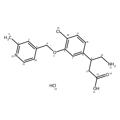 Cc1cc(COc2cc(C(CN)CC(=O)O)ccc2Cl)ccn1.Cl